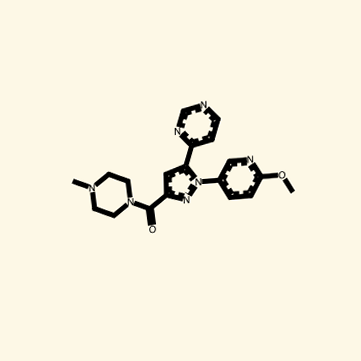 COc1ccc(-n2nc(C(=O)N3CCN(C)CC3)cc2-c2ccncn2)cn1